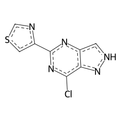 Clc1nc(-c2cscn2)nc2c[nH]nc12